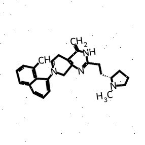 C=C1NC(CC[C@@H]2CCCN2C)=NC2=C1CCN(c1cccc3cccc(C)c13)C2